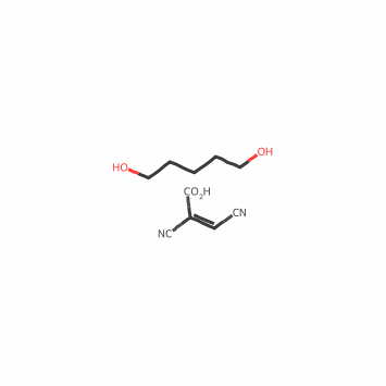 N#CC=C(C#N)C(=O)O.OCCCCCO